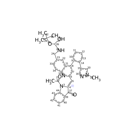 CC(=O)N1/C(=C\c2cc(-c3ccccc3-c3cnn(C)c3)c3cc(CNC(O)OC(C)(C)C)ccc3n2)C(=O)c2ccccc21